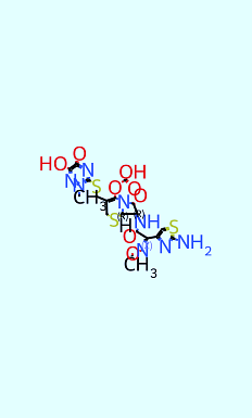 CO/N=C(\C(=O)N[C@@H]1C(=O)N2C(OC(=O)O)=C(CSc3nc(=O)c(O)nn3C)CS[C@H]12)c1csc(N)n1